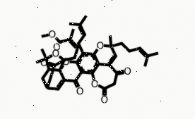 COC(=O)/C(C)=C\CC12OC(C)(C)C3CC(C=C4C(=O)c5c(c(CC=C(C)C)c6c7c5OC(=O)CC(=O)C7=CC(C)(CCC=C(C)C)O6)OC431)C2=O